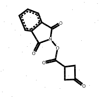 O=C1CC(C(=O)ON2C(=O)c3ccccc3C2=O)C1